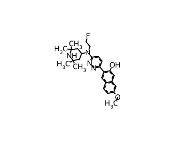 COc1ccc2cc(-c3ccc(N(CCF)C4CC(C)(C)NC(C)(C)C4)nn3)c(O)cc2c1